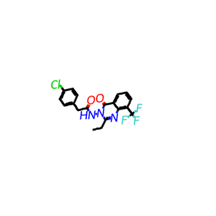 CCc1nc2c(C(F)(F)F)cccc2c(=O)n1NC(=O)Cc1ccc(Cl)cc1